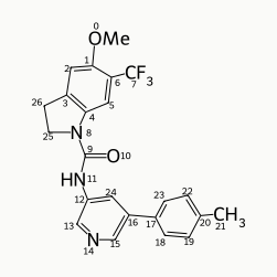 COc1cc2c(cc1C(F)(F)F)N(C(=O)Nc1cncc(-c3ccc(C)cc3)c1)CC2